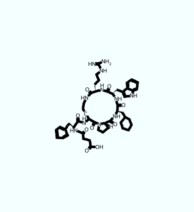 N=C(N)NCCC[C@@H]1NC(=O)[C@H](Cc2c[nH]c3ccccc23)NC(=O)[C@@H](CC2CCCCC2)NC(=O)[C@@H]2CCCN2C(=O)C(NC(=O)[C@H](Cc2ccccc2)NC(=O)CCC(=O)O)CCCNC1=O